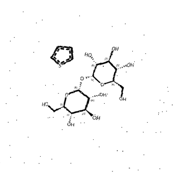 OC[C@H]1O[C@H](O[C@H]2O[C@H](CO)[C@@H](O)[C@H](O)[C@H]2O)[C@H](O)[C@@H](O)[C@@H]1O.c1ccsc1